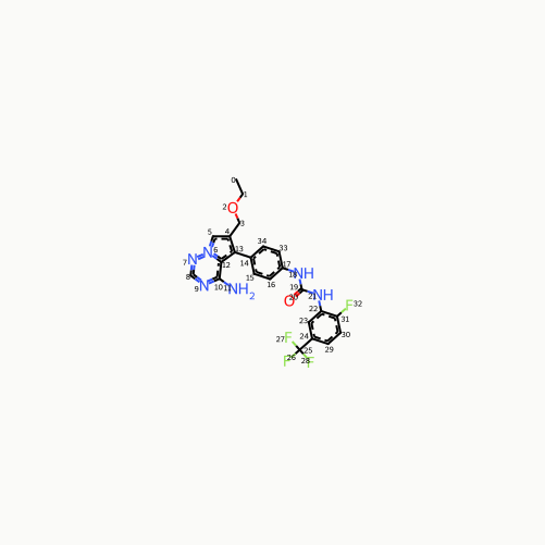 CCOCc1cn2ncnc(N)c2c1-c1ccc(NC(=O)Nc2cc(C(F)(F)F)ccc2F)cc1